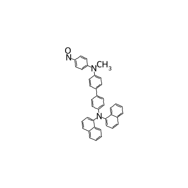 CN(c1ccc(N=O)cc1)c1ccc(-c2ccc(N(c3cccc4ccccc34)c3cccc4ccccc34)cc2)cc1